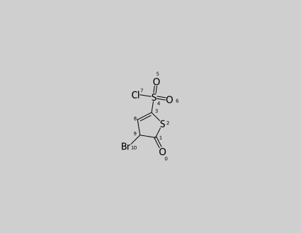 O=C1SC(S(=O)(=O)Cl)=CC1Br